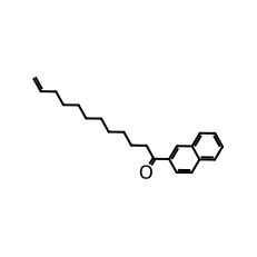 C=CCCCCCCCCCC(=O)c1ccc2ccccc2c1